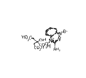 Nc1n[n+]([O-])c2ccccc2[n+]1[O-].O=C(O)CC(O)(CC(=O)O)C(=O)O